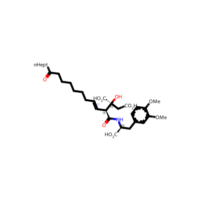 CCCCCCCC(=O)CCCCCC/C=C/[C@H](C(=O)N[C@@H](Cc1ccc(OC)c(OC)c1)C(=O)O)[C@@](O)(CC(=O)O)C(=O)O